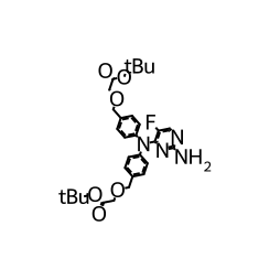 CC(C)(C)OC(=O)COCc1ccc(N(c2ccc(COCC(=O)OC(C)(C)C)cc2)c2nc(N)ncc2F)cc1